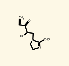 C=CC(=O)C(O)CN1CCN=C1C=O